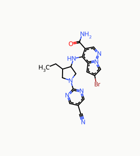 CCC1CN(c2ncc(C#N)cn2)CC1Nc1c(C(N)=O)cnn2cc(Br)cc12